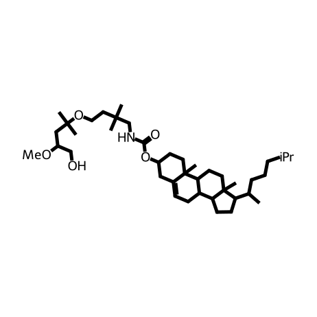 COC(CO)CC(C)(C)OCCC(C)(C)CNC(=O)OC1CCC2(C)C(=CCC3C2CCC2(C)C(C(C)CCCC(C)C)CCC32)C1